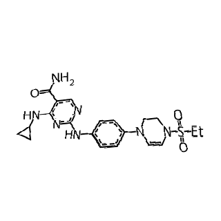 CCS(=O)(=O)N1C=CN(c2ccc(Nc3ncc(C(N)=O)c(NC4CC4)n3)cc2)CC1